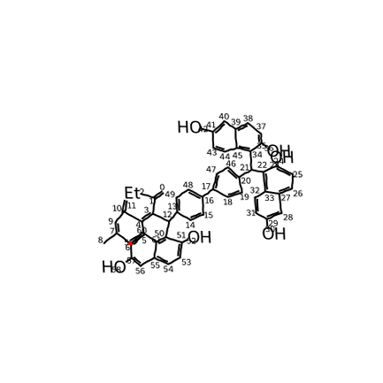 C=C(CC)/C(=c1/ccc(C)cc1=C)C(c1ccc(-c2ccc(C(c3c(O)ccc4cc(O)ccc34)c3c(O)ccc4cc(O)ccc34)cc2)cc1)c1c(O)ccc2cc(O)ccc12